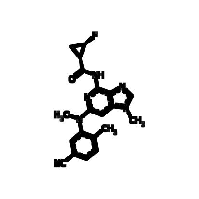 Cc1ccc(C#N)cc1N(C)c1cc2c(ncn2C)c(NC(=O)[C@H]2C[C@H]2F)n1